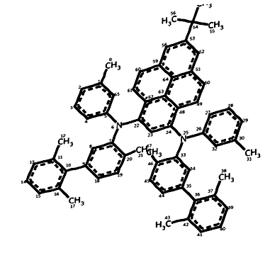 Cc1cccc(N(c2cc(-c3c(C)cccc3C)ccc2C)c2cc(N(c3cccc(C)c3)c3cc(-c4c(C)cccc4C)ccc3C)c3ccc4cc(C(C)(C)C)cc5ccc2c3c54)c1